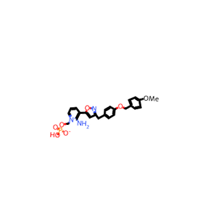 COc1ccc(COc2ccc(Cc3cc(-c4ccc[n+](COP(=O)([O-])O)c4N)on3)cc2)cc1